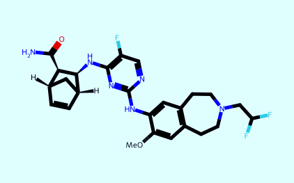 COc1cc2c(cc1Nc1ncc(F)c(N[C@@H]3[C@H](C(N)=O)[C@H]4C=C[C@@H]3C4)n1)CCN(CC(F)F)CC2